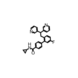 O=C(NC1CC1)c1ccc(-c2cc(F)ccc2CC(c2cccnc2)c2cccnc2)cc1